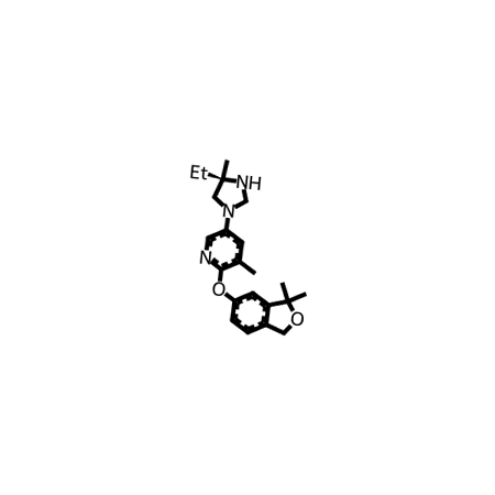 CC[C@]1(C)CN(c2cnc(Oc3ccc4c(c3)C(C)(C)OC4)c(C)c2)CN1